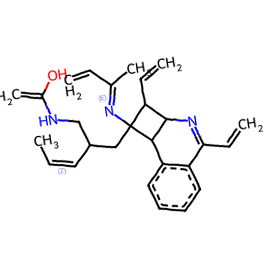 C=CC1=NC2C(C=C)C(CC(/C=C\C)CNC(=C)O)(/N=C(\C)C=C)C2c2ccccc21